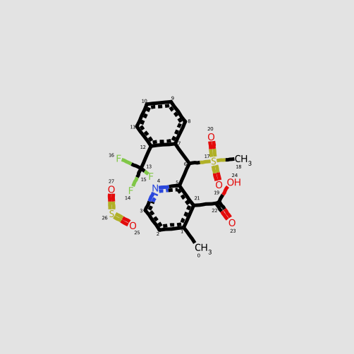 Cc1ccnc(C(c2ccccc2C(F)(F)F)S(C)(=O)=O)c1C(=O)O.O=S=O